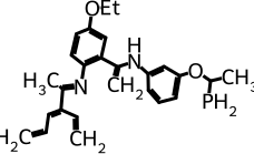 C=C/C=C(C=C)/C(C)=N/c1ccc(OCC)cc1C(=C)Nc1cccc(OC(C)P)c1